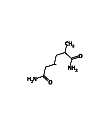 CC(C[CH]CC(N)=O)C(N)=O